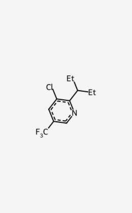 CCC(CC)c1ncc(C(F)(F)F)cc1Cl